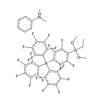 CC[Si](OC)(OC)c1c(F)c(F)c([B-](c2c(F)c(F)c(F)c(F)c2F)(c2c(F)c(F)c(F)c(F)c2F)c2c(F)c(F)c(F)c(F)c2F)c(F)c1F.C[NH+](C)c1ccccc1